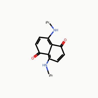 CC(C)NC1=C2C(=O)C=CC(NC(C)C)=C2C(=O)C=C1